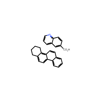 O=C(O)c1ccc2ncccc2c1.c1ccc2c(c1)ccc1c3c(ccc12)CCCC3